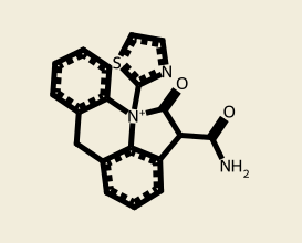 NC(=O)C1C(=O)[N+]2(c3nccs3)c3ccccc3Cc3cccc1c32